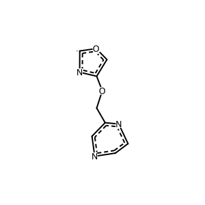 [c]1nc(OCc2cnccn2)co1